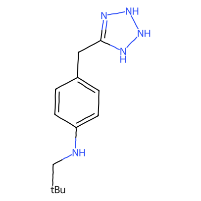 CC(C)(C)CNc1ccc(CC2=NNNN2)cc1